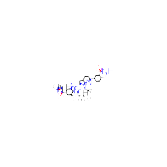 COc1cc(C(=O)N2CC3CCC2[C@@H]3C)cc2nc(-c3cc4ccc(-c5ccc6c(c5)C(=O)NCC6)nc4n3CC3CC3)n(C)c12